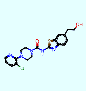 O=C(Nc1nc2ccc(CCO)cc2s1)N1CCN(c2ncccc2Cl)CC1